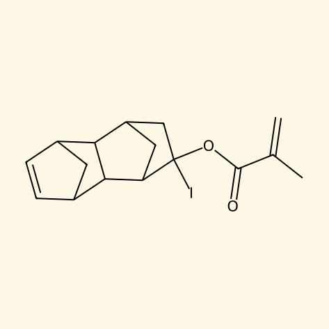 C=C(C)C(=O)OC1(I)CC2CC1C1C3C=CC(C3)C21